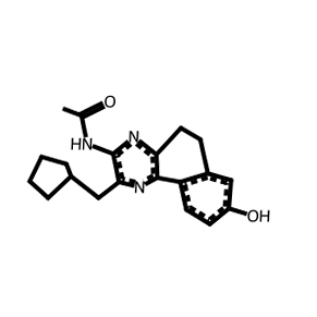 CC(=O)Nc1nc2c(nc1CC1CCCC1)-c1ccc(O)cc1CC2